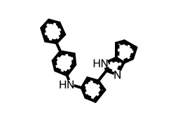 c1ccc(-c2ccc(Nc3cccc(-c4nc5ccccc5[nH]4)c3)cc2)cc1